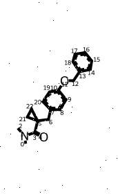 CN(C)C(=O)C1(Cc2ccc(OCc3ccccc3)cc2)CC1